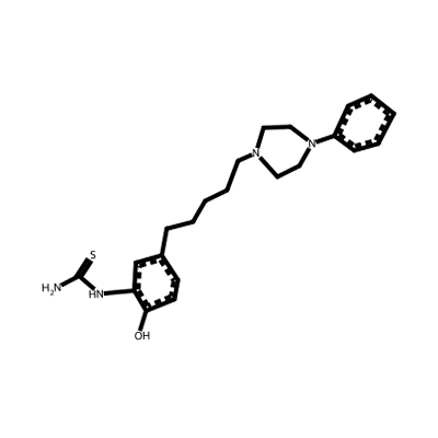 NC(=S)Nc1cc(CCCCCN2CCN(c3ccccc3)CC2)ccc1O